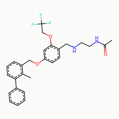 CC(=O)NCCNCc1ccc(OCc2cccc(-c3ccccc3)c2C)cc1OCC(F)(F)F